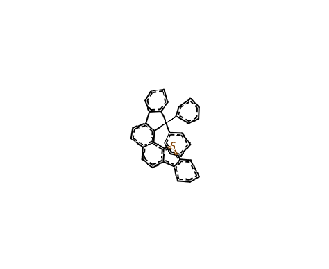 c1ccc(C2(c3ccccc3)c3ccccc3-c3ccc4ccc5c6ccccc6sc5c4c32)cc1